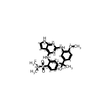 COc1ccc(C(C)(C)O)cc1Nc1nc(Nc2ccccc2S(=O)(=O)N(C)C)c2cc[nH]c2n1